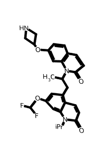 CC(C)n1c(=O)ccc2c(CC(C)n3c(=O)ccc4ccc(OC5CNC5)cc43)cc(OC(F)F)cc21